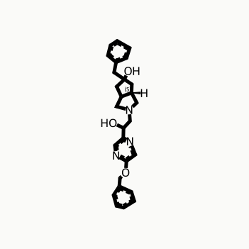 OC(CN1CC2CC(O)(Cc3ccccc3)C[C@@H]2C1)c1cnc(OCc2ccccc2)cn1